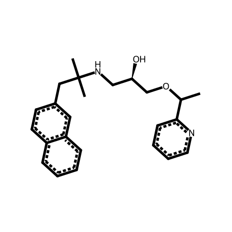 CC(OC[C@H](O)CNC(C)(C)Cc1ccc2ccccc2c1)c1ccccn1